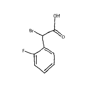 O=C(O)C(Br)c1ccccc1F